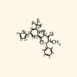 CN(Cc1ccccc1)C(=O)c1nn2c(C(F)(F)F)cc(-c3cccs3)nc2c1Cl